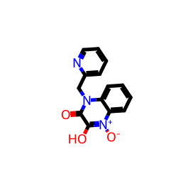 O=c1c(O)[n+]([O-])c2ccccc2n1Cc1ccccn1